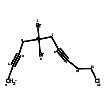 [CH2]C#CCC(Br)(Br)CC#CCCCl